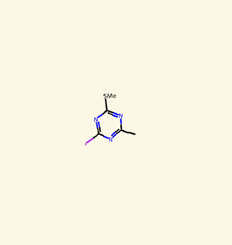 CSc1nc(C)nc(I)n1